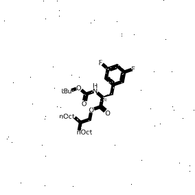 CCCCCCCCC(CCCCCCCC)COC(=O)[C@H](Cc1cc(F)cc(F)c1)NC(=O)OC(C)(C)C